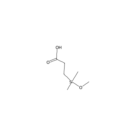 CO[Si](C)(C)CCC(=O)O